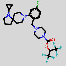 O=C(OC(C(F)(F)F)C(F)(F)F)N1CCN(Cc2ccc(Cl)cc2N2CCC3(CCCN3C3CC3)CC2)CC1